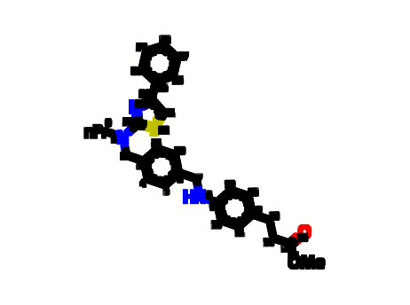 CCCN(Cc1ccc(CNc2ccc(CCC(=O)OC)cc2)cc1)c1nc(-c2ccccc2)cs1